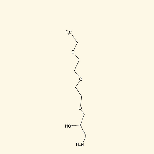 NCC(O)COCCOCCOCC(F)(F)F